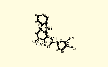 COc1c(Cl)cc2c([nH]c3cnccc32)c1NC(=O)c1ccc(F)c(F)c1